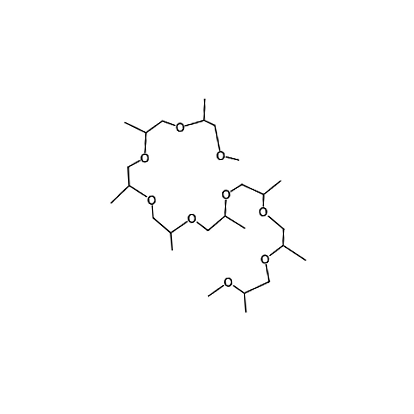 COCC(C)OCC(C)OCC(C)OCC(C)OCC(C)OCC(C)OCC(C)OCC(C)OC